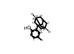 Cc1ccc(O)c(C23CC4C[C@@](C)(C2)C[C@](C)(C4)C3)c1